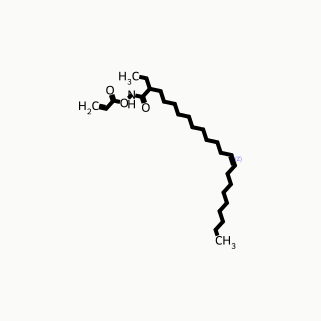 C=CC(=O)ONC(=O)C(CC)CCCCCCCCCC/C=C\CCCCCCCC